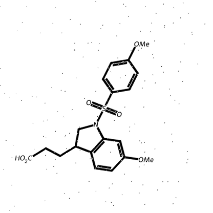 COc1ccc(S(=O)(=O)N2CC(CCC(=O)O)c3ccc(OC)cc32)cc1